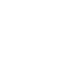 CS(=O)(=O)OC1CC(OCc2ccccc2)CC1F